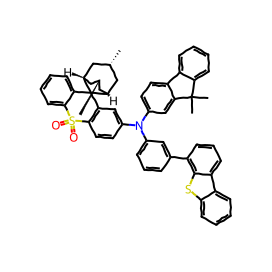 CC1(C)c2ccccc2-c2ccc(N(c3cccc(-c4cccc5c4sc4ccccc45)c3)c3ccc4c(c3)C3(c5ccccc5S4(=O)=O)[C@H]4C[C@@H](C)C[C@@H]3C[C@@H](C)C4)cc21